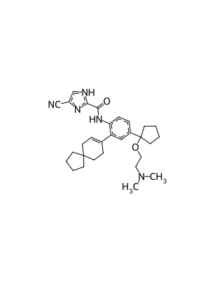 CN(C)CCOC1(c2ccc(NC(=O)c3nc(C#N)c[nH]3)c(C3=CCC4(CCCC4)CC3)c2)CCCC1